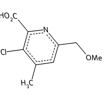 COCc1cc(C)c(Cl)c(C(=O)O)n1